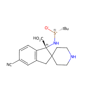 CC(C)(C)[S@@+]([O-])N[C@@]1(C(=O)O)c2ccc(C#N)cc2CC12CCNCC2